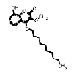 CCCCCCCCCCOc1c(OC)c(=O)oc2c(O)cccc12